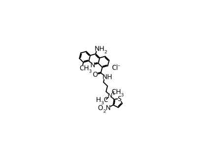 Cc1cccc2c(N)c3cccc(C(=O)NCCC[N+](C)(C)c4sccc4[N+](=O)[O-])c3nc12.[Cl-]